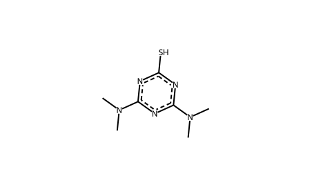 CN(C)c1nc(S)nc(N(C)C)n1